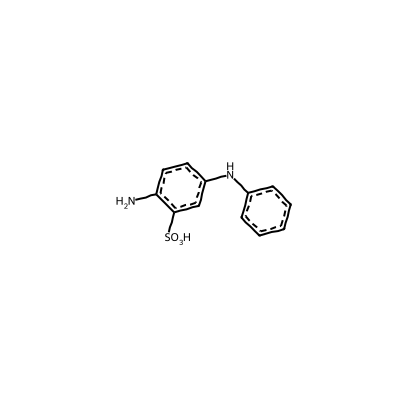 Nc1ccc(Nc2ccccc2)cc1S(=O)(=O)O